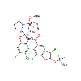 CNC(=O)c1cc2c(c(F)c1-c1c(Cl)c(F)cc3c1C[C@](c1ccccc1)([C@@H]1CCCN1C(=O)OC(C)(C)C)O3)CC(O[Si](C)(C)C(C)(C)C)C2F